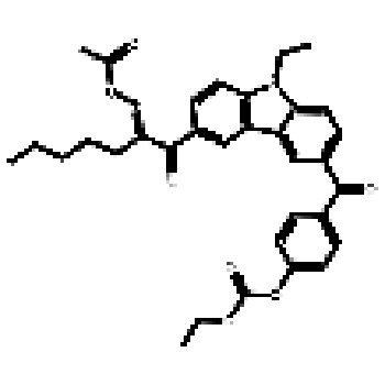 CCCCCC(=NOC(C)=O)C(=O)c1ccc2c(c1)c1cc(C(=O)c3ccc(OC(=O)OCC)cc3)ccc1n2CC